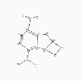 CC(C)c1cnc(C(C)C)c2c1C1CCC1C2